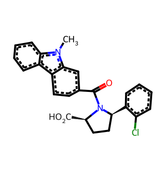 Cn1c2ccccc2c2ccc(C(=O)N3[C@@H](c4ccccc4Cl)CC[C@H]3C(=O)O)cc21